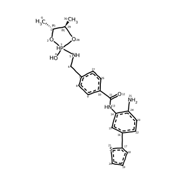 C[C@H]1O[PH](O)(NCc2ccc(C(=O)Nc3cc(-c4cccs4)ccc3N)cc2)O[C@@H]1C